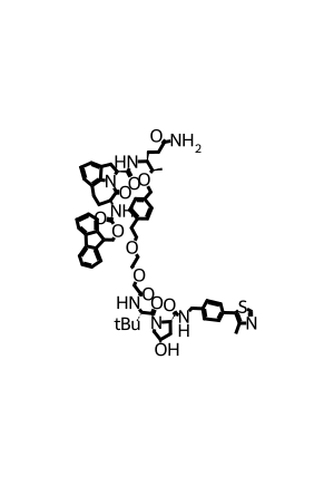 Cc1ncsc1-c1ccc(CNC(=O)[C@@H]2C[C@@H](O)CN2C(=O)[C@@H](NC(=O)COCCOCCc2ccc(CO[C@H](C)[C@H](CCC(N)=O)NC(=O)[C@@H]3Cc4cccc5c4N3C(=O)[C@@H](NC(=O)OCC3c4ccccc4-c4ccccc43)CC5)cc2)C(C)(C)C)cc1